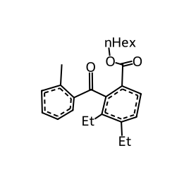 CCCCCCOC(=O)c1ccc(CC)c(CC)c1C(=O)c1ccccc1C